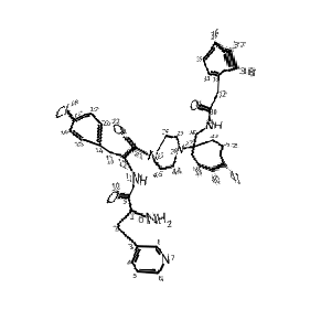 NC(Cc1cccnc1)C(=O)NC(Cc1ccc(Cl)cc1)C(=O)N1CCN(C2(CNC(=O)Cc3ccccc3)CCCCC2)CC1